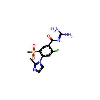 Cc1nccn1-c1cc(F)c(C(=O)N=C(N)N)cc1S(C)(=O)=O